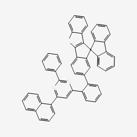 c1ccc(-c2nc(-c3ccccc3-c3ccc4c(c3)C3(c5ccccc5-c5ccccc53)c3c-4oc4ccccc34)cc(-c3cccc4ccccc34)n2)cc1